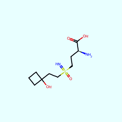 N=[S@@](=O)(CC[C@H](N)C(=O)O)CCC1(O)CCC1